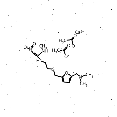 CC(=O)[O-].CC(=O)[O-].CNC(=C[N+](=O)[O-])NCCSCc1ccc(CN(C)C)o1.[Ca+2]